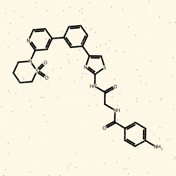 Nc1ccc(C(=O)NCC(=O)Nc2nc(-c3cccc(-c4ccnc(N5CCCCS5(=O)=O)c4)c3)cs2)cc1